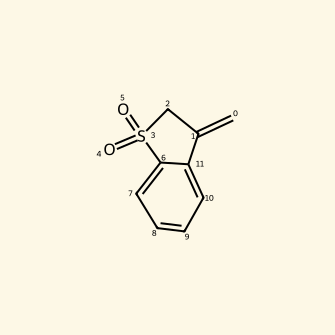 C=C1CS(=O)(=O)c2ccccc21